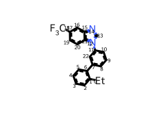 CCc1ccccc1-c1cccc(-n2cnc3cc(C(F)(F)F)ccc32)c1